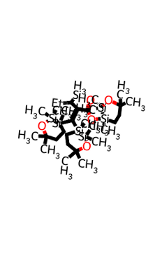 CCC([SiH3])C(C(=O)O[Si]1(C)CCC(C)(C)O[Si]1(C)C)=C([Si]1(C)CCC(C)(C)O[Si]1(C)C)[Si]1(C)CCC(C)(C)O[Si]1(C)C